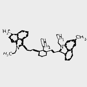 CCn1/c(=C/C=C2\CCCC(/C=C/C3=[N+](CC)c4cc(C)cc5cccc3c45)=C2C)c2cccc3c(C)ccc1c32